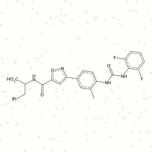 Cc1cc(-c2cc(C(=O)NC(CC(C)C)C(=O)O)on2)ccc1NC(=O)Nc1c(F)cccc1F